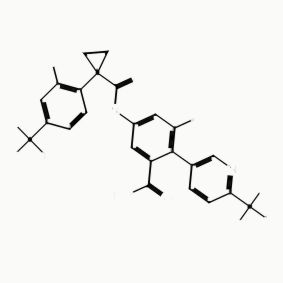 O=C(O)c1cc(NC(=O)C2(c3ccc(C(F)(F)F)cc3F)CC2)cc(Cl)c1-c1ccc(C(F)(F)F)nc1